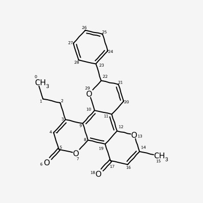 CCCc1[c]c(=O)oc2c1c1c(c3oc(C)cc(=O)c32)C=CC(c2ccccc2)O1